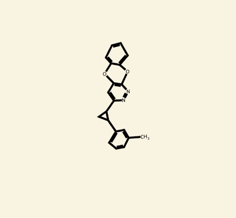 Cc1cccc(C2CC2c2cc3c(nn2)Oc2ccccc2O3)c1